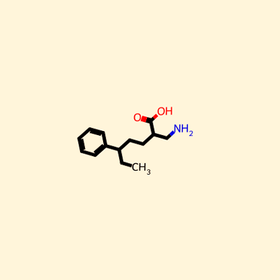 CCC(CCC(CN)C(=O)O)c1ccccc1